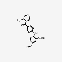 COc1cc(CC(C)C)ccc1Nc1ncc(C(=O)c2ccncc2C(F)(F)F)cn1